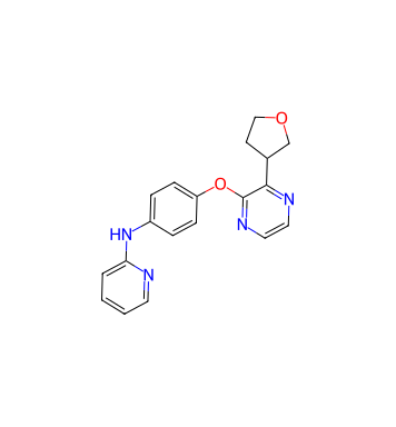 c1ccc(Nc2ccc(Oc3nccnc3C3CCOC3)cc2)nc1